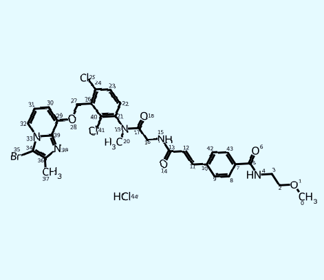 COCCNC(=O)c1ccc(C=CC(=O)NCC(=O)N(C)c2ccc(Cl)c(COc3cccn4c(Br)c(C)nc34)c2Cl)cc1.Cl